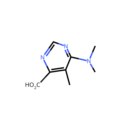 Cc1c(C(=O)O)ncnc1N(C)C